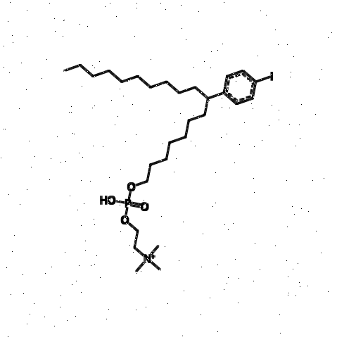 CCCCCCCCCCC(CCCCCCCOP(=O)(O)OCC[N+](C)(C)C)c1ccc(I)cc1